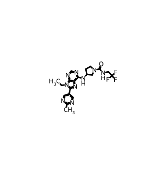 CCn1c(-c2cnc(C)nc2)nc2c(NC3CCN(C(=O)NCC(F)(F)F)C3)ncnc21